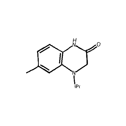 Cc1ccc2c(c1)N(C(C)C)CC(=O)N2